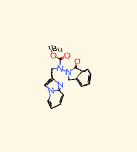 CC(C)(C)OC(=O)N(Cc1cn2ccccc2n1)N1Cc2ccccc2C1=O